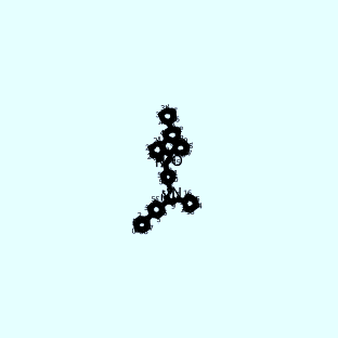 c1ccc(-c2ccc(-c3cc(-c4ccccc4)nc(-c4ccc(-c5nc6cccc(-c7cccc(-c8ccccc8)c7)c6c6c5oc5ccccc56)cc4)n3)cc2)cc1